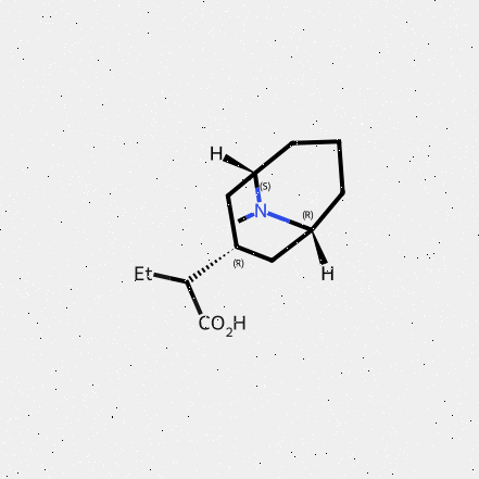 CCC(C(=O)O)[C@H]1C[C@H]2CCC[C@@H](C1)N2C